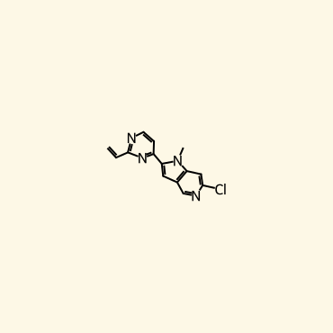 C=Cc1nccc(-c2cc3cnc(Cl)cc3n2C)n1